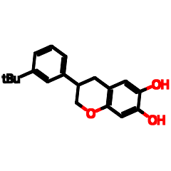 CC(C)(C)c1cccc(C2COc3cc(O)c(O)cc3C2)c1